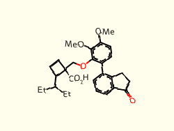 CCC(CC)C1CCC1(COc1c(-c2cccc3c2CCC3=O)ccc(OC)c1OC)C(=O)O